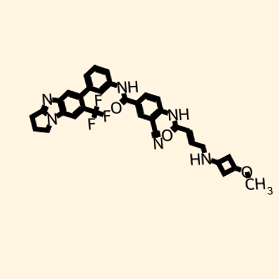 COC1CC(NC/C=C/C(=O)Nc2ccc(C(=O)Nc3cccc(-c4cc5nc6n(c5cc4C(F)(F)F)CCC6)c3)cc2C#N)C1